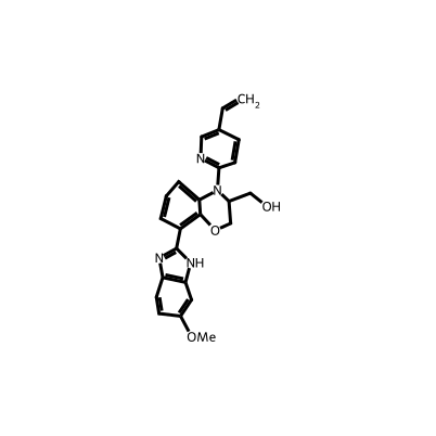 C=Cc1ccc(N2c3cccc(-c4nc5ccc(OC)cc5[nH]4)c3OCC2CO)nc1